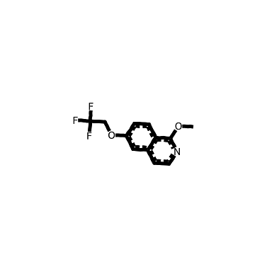 COc1nccc2cc(OCC(F)(F)F)ccc12